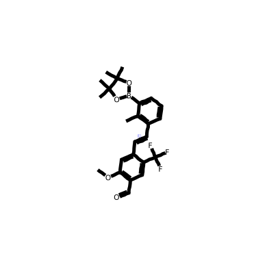 COc1cc(/C=C/c2cccc(B3OC(C)(C)C(C)(C)O3)c2C)c(C(F)(F)F)cc1C=O